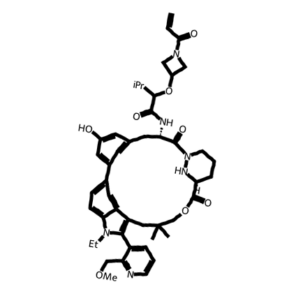 C=CC(=O)N1CC(OC(C(=O)N[C@H]2Cc3cc(O)cc(c3)-c3ccc4c(c3)c(c(-c3cccnc3COC)n4CC)CC(C)(C)COC(=O)[C@@H]3CCCN(N3)C2=O)C(C)C)C1